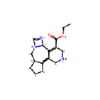 CCOC(=O)C1=C2C(=C3CCCC3CN3C=NC23)CNC1